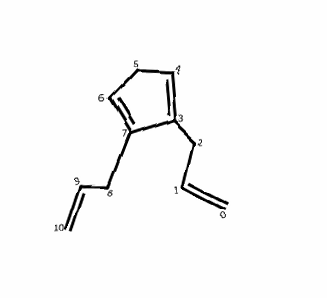 C=CCC1=[C]CC=C1CC=C